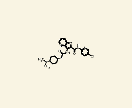 CN(C)[C@H]1CC[C@H](CC(=O)Nc2c(C(=O)Nc3ccc(Cl)cn3)oc3cccnc23)CC1